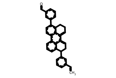 C=Cc1cccc(C2CC=c3c4c5c(c(-c6cccc(C=O)c6)ccc5c5cccc2c35)CCC=4)c1